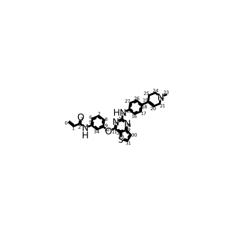 C=CC(=O)Nc1cccc(Oc2nc(Nc3ccc(C4=CCN(C)CC4)cc3)nc3ccsc23)c1